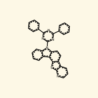 c1ccc(-c2nc(-c3ccccc3)nc(-n3c4ccccc4c4c5sc6ncccc6c5ccc43)n2)cc1